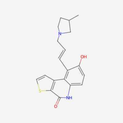 CC1CCN(C/C=C/c2c(O)ccc3[nH]c(=O)c4sccc4c23)C1